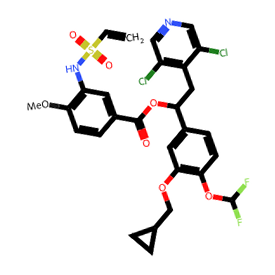 C=CS(=O)(=O)Nc1cc(C(=O)OC(Cc2c(Cl)cncc2Cl)c2ccc(OC(F)F)c(OCC3CC3)c2)ccc1OC